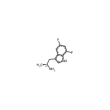 C[C@H](N)Cc1c[nH]c2c(F)cc(F)cc12